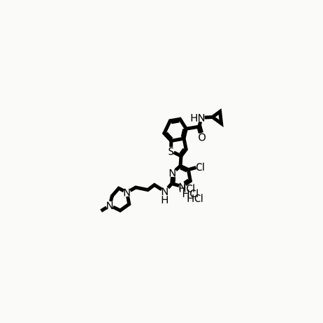 CN1CCN(CCCNc2ncc(Cl)c(-c3cc4c(C(=O)NC5CC5)cccc4s3)n2)CC1.Cl.Cl.Cl